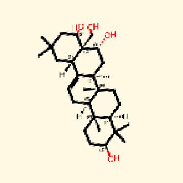 CC1(C)C[C@H](O)[C@]2(CO)[C@H](O)C[C@]3(C)C(=CC[C@@H]4[C@@]5(C)CC[C@H](O)C(C)(C)[C@@H]5CC[C@]43C)[C@@H]2C1